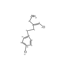 NC/C(=C/Cl)CCc1ccc(Cl)cc1